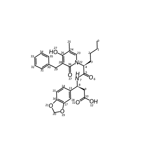 CCCC[C@@H](C(=O)N[C@@H](CC(=O)O)c1ccc2c(c1)OCO2)n1cc(C)c(O)c(Cc2ccccc2)c1=O